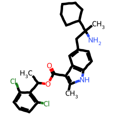 Cc1[nH]c2ccc(CC(C)(N)C3CCCCC3)cc2c1C(=O)OC(C)c1c(Cl)cccc1Cl